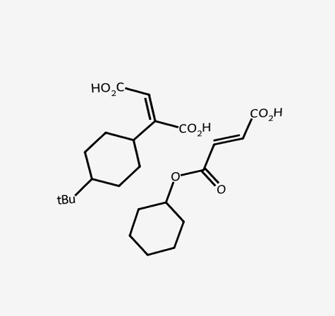 CC(C)(C)C1CCC(/C(=C\C(=O)O)C(=O)O)CC1.O=C(O)/C=C/C(=O)OC1CCCCC1